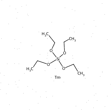 CCO[Si](OCC)(OCC)OCC.[Tm]